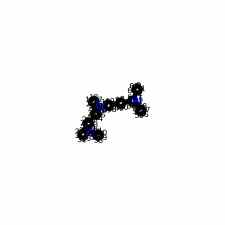 c1ccc(-c2cc(-c3ccc(-c4ccc(-n5c6ccccc6c6cc(-c7ccc8c9ccccc9n(-c9ccccc9)c8c7)ccc65)cc4)cc3)cc(-c3ccccc3)n2)cc1